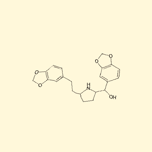 OC(c1ccc2c(c1)OCO2)C1CCC(CCc2ccc3c(c2)OCO3)N1